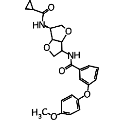 COc1ccc(Oc2cccc(C(=O)NC3COC4C3OC[C@@H]4NC(=O)C3CC3)c2)cc1